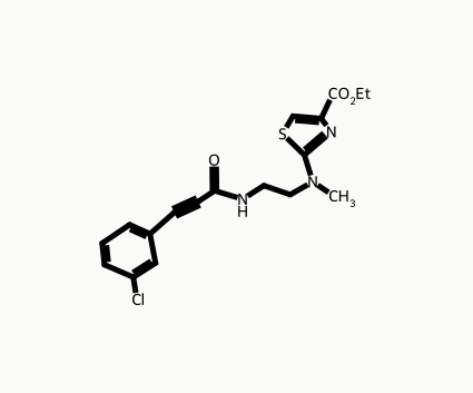 CCOC(=O)c1csc(N(C)CCNC(=O)C#Cc2cccc(Cl)c2)n1